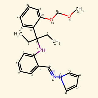 CCC(CC)(Pc1ccccc1/C=N/n1cccc1)c1ccccc1OCOC